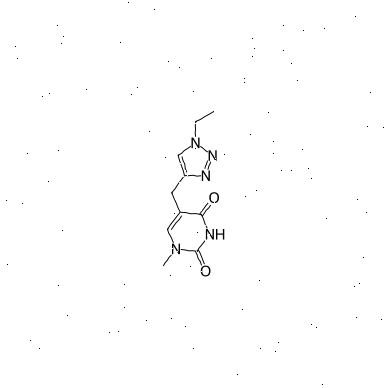 CCn1cc(Cc2cn(C)c(=O)[nH]c2=O)nn1